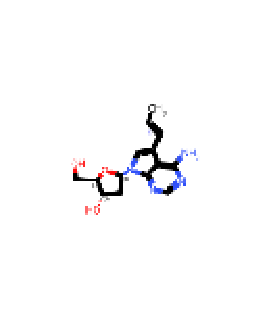 C/C=C/c1cn([C@H]2C[C@H](O)[C@@H](CO)O2)c2ncnc(N)c12